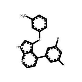 Cc1cccc(Sc2c[nH]c3nccc(-c4cc(F)cc(F)c4)c23)c1